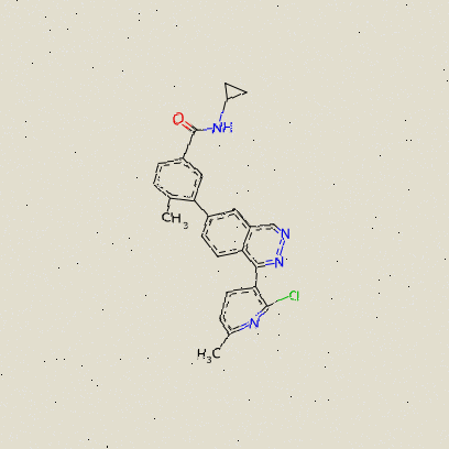 Cc1ccc(-c2nncc3cc(-c4cc(C(=O)NC5CC5)ccc4C)ccc23)c(Cl)n1